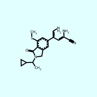 CSc1cc(C(/C=C(\N)C#N)=C/N)cc2c1C(=O)N(C(C)C1CC1)C2